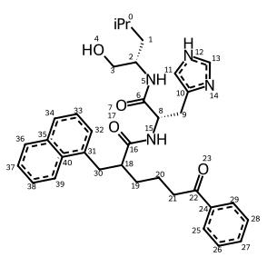 CC(C)C[C@@H](CO)NC(=O)[C@H](Cc1c[nH]cn1)NC(=O)C(CCCC(=O)c1ccccc1)Cc1cccc2ccccc12